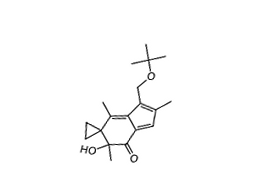 CC1=C(COC(C)(C)C)C2=C(C)C3(CC3)C(C)(O)C(=O)C2=C1